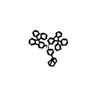 c1ccc(C2(c3ccccc3)c3ccccc3-c3ccc(N(c4ccc(C5C6CC7CC(C6)CC5C7)cc4)c4ccc5c(c4)C(c4ccccc4)(c4ccccc4)c4ccccc4-5)cc32)cc1